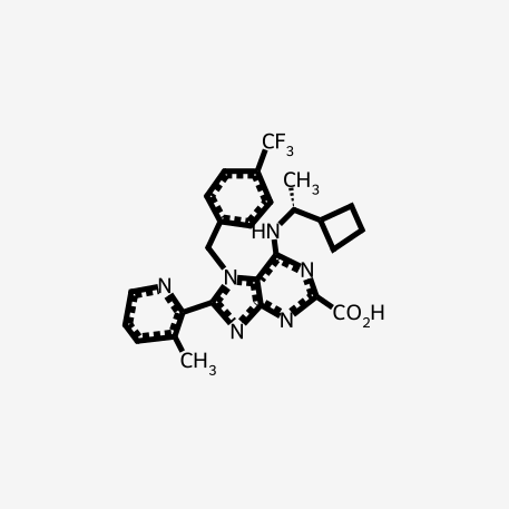 Cc1cccnc1-c1nc2nc(C(=O)O)nc(N[C@H](C)C3CCC3)c2n1Cc1ccc(C(F)(F)F)cc1